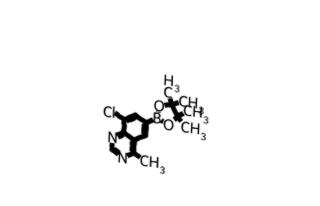 Cc1ncnc2c(Cl)cc(B3OC(C)(C)C(C)(C)O3)cc12